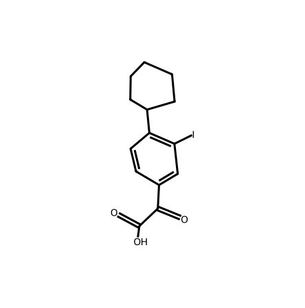 O=C(O)C(=O)c1ccc(C2CCCCC2)c(I)c1